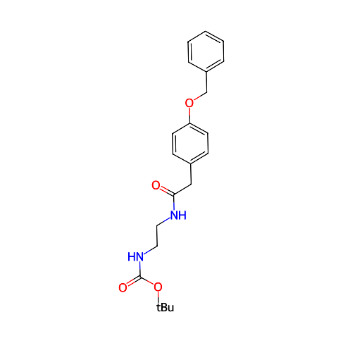 CC(C)(C)OC(=O)NCCNC(=O)Cc1ccc(OCc2ccccc2)cc1